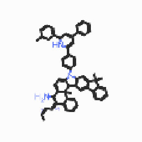 C/C=C\C=C1\c2ccccc2C2(C)C(=CC=C3C2c2cc4c(cc2N3c2ccc(C3=CC(c5ccccc5)=CC(C5=CC=CC(C)C5)N3)cc2)C(C)(C)c2ccccc2-4)C1N